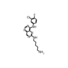 NCCCCCNc1ncc2ncnc(Nc3ccc(F)c(Cl)c3)c2n1